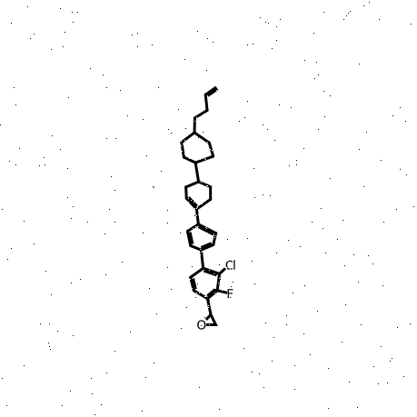 C=CCCC1CCC(C2CC=C(c3ccc(-c4ccc(C5CO5)c(F)c4Cl)cc3)CC2)CC1